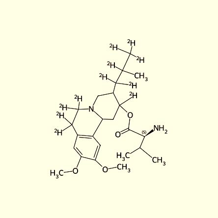 [2H]C1(OC(=O)[C@@H](N)C(C)C)CC2c3cc(OC)c(OC)cc3C([2H])([2H])C([2H])([2H])N2CC1C([2H])([2H])C([2H])(C)C([2H])([2H])[2H]